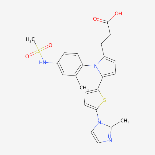 Cc1cc(NS(C)(=O)=O)ccc1-n1c(CCC(=O)O)ccc1-c1ccc(-n2ccnc2C)s1